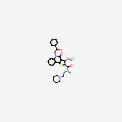 COc1c(C(=O)N(C)CCN2CCCCC2)sc2c1c(=O)n(CC(=O)c1ccccc1)c1ccccc21.Cl